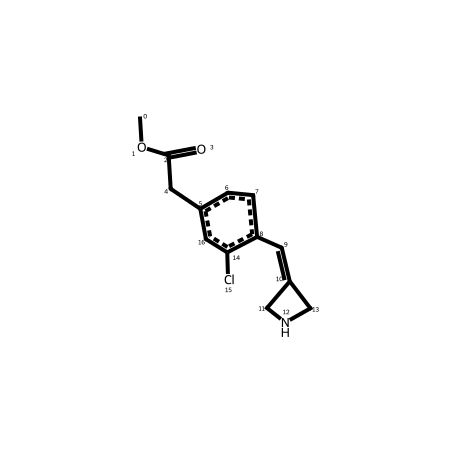 COC(=O)Cc1ccc(C=C2CNC2)c(Cl)c1